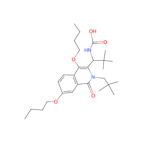 CCCCOc1ccc2c(OCCCC)c(C(NC(=O)O)C(C)(C)C)n(CC(C)(C)C)c(=O)c2c1